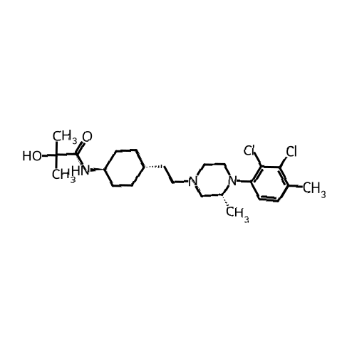 Cc1ccc(N2CCN(CC[C@H]3CC[C@H](NC(=O)C(C)(C)O)CC3)C[C@H]2C)c(Cl)c1Cl